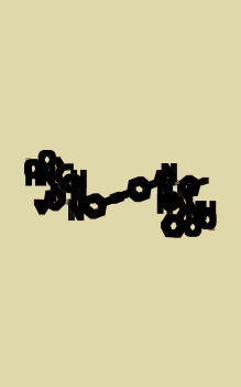 COC(=O)N[C@H](C(=O)N1CC2(CC2)C[C@H]1c1nc2ccc(C#Cc3ccc(-c4cnc([C@@H]5C[C@@H](C)CN5C(=O)[C@H](NC(=O)OC)c5ccccc5)[nH]4)cc3)cc2[nH]1)C(C)C